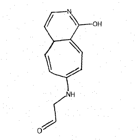 O=CCNC1=CC=C2C(O)=NC=CC2C=C1